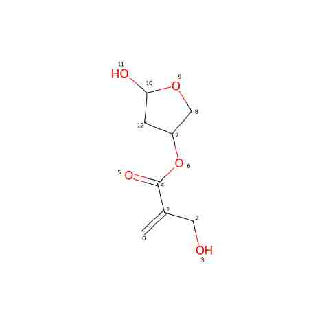 C=C(CO)C(=O)OC1COC(O)C1